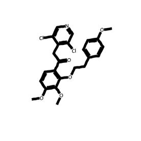 COc1ccc(CCOc2c(C(=O)Cc3c(Cl)cncc3Cl)ccc(OC)c2OC)cc1